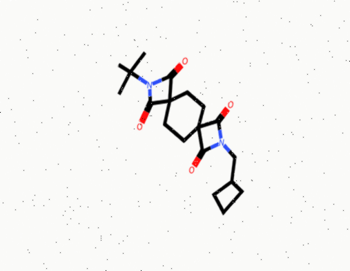 CC(C)(C)N1C(=O)C2(CCC3(CC2)C(=O)N(CC2CCC2)C3=O)C1=O